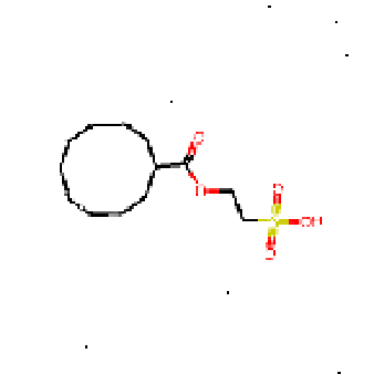 O=C(OCCS(=O)(=O)O)C1CCCCCCCCC1